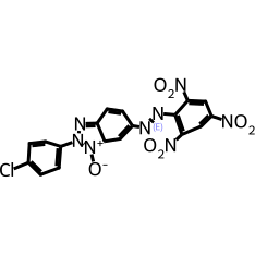 O=[N+]([O-])c1cc([N+](=O)[O-])c(/N=N/c2ccc3nn(-c4ccc(Cl)cc4)[n+]([O-])c3c2)c([N+](=O)[O-])c1